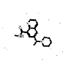 CNC(=O)c1cc(C(C)N2CCCCC2)cc2cccnc12